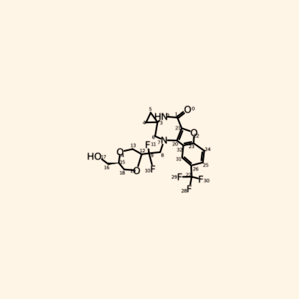 O=C1NC2(CC2)CN(CC(F)(F)C2CO[C@H](CO)CO2)c2c1oc1ccc(C(F)(F)F)cc21